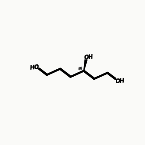 OCCC[C@@H](O)CCO